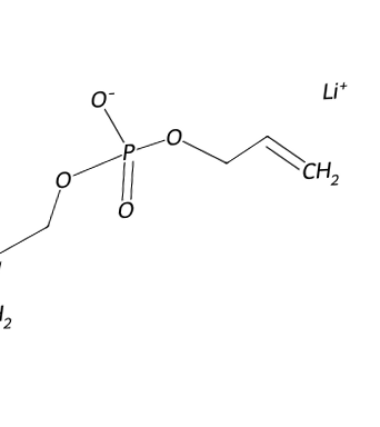 C=CCOP(=O)([O-])OCC=C.[Li+]